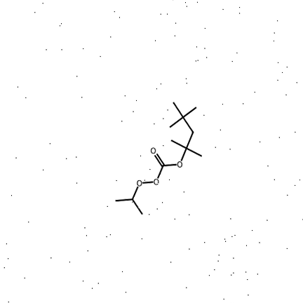 CC(C)OOC(=O)OC(C)(C)CC(C)(C)C